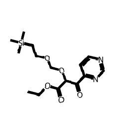 CCOC(=O)C(OCOCC[Si](C)(C)C)C(=O)c1ccncn1